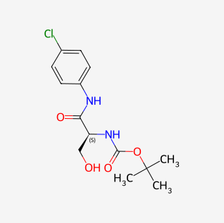 CC(C)(C)OC(=O)N[C@@H](CO)C(=O)Nc1ccc(Cl)cc1